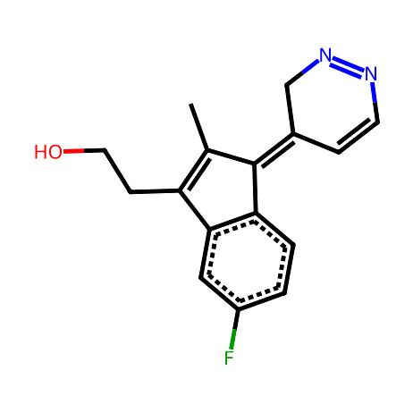 CC1=C(CCO)c2cc(F)ccc2C1=C1C=CN=NC1